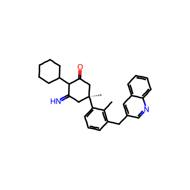 Cc1c(Cc2cnc3ccccc3c2)cccc1[C@@]1(C)CC(=N)C(C2CCCCC2)C(=O)C1